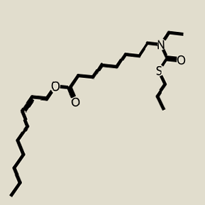 CCCCCC/C=C\COC(=O)CCCCCCCN(CC)C(=O)SCCC